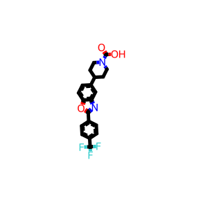 O=C(O)N1CCC(c2ccc3oc(-c4ccc(C(F)(F)F)cc4)nc3c2)CC1